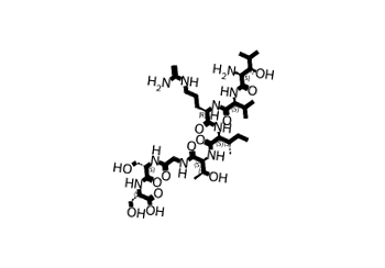 C=C(N)NCCC[C@@H](NC(=O)[C@@H](NC(=O)[C@@H](N)[C@H](O)C(C)C)C(C)C)C(=O)N[C@H](C(=O)N[C@H](C(=O)NCC(=O)N[C@@H](CO)C(=O)N[C@@H](CO)C(=O)O)[C@H](C)O)[C@@H](C)CC